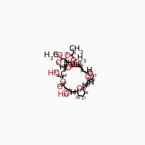 CCC(=O)O[C@H]1/C(=C/C(=O)OC)C[C@H]2C[C@H](CO)OC(=O)C[C@H](O)C[C@@H]3CCC[C@H](C[C@@H]4CCO[C@H](/C=C/C(C)(C)[C@]1(O)O2)O4)O3